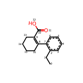 CCc1ccccc1C1=C(C(=O)O)CCCC1